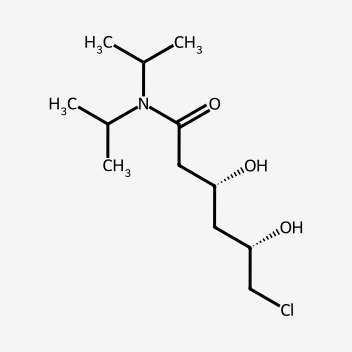 CC(C)N(C(=O)C[C@H](O)C[C@H](O)CCl)C(C)C